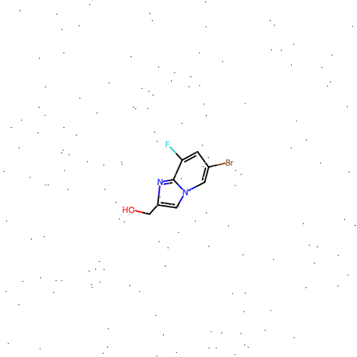 OCc1cn2cc(Br)cc(F)c2n1